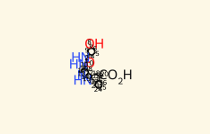 O=C(Nc1cccc(O)c1)Nc1cnc2[nH]cc(/C=C(/C(=O)O)c3ccccc3)c2c1